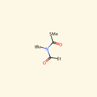 CCC(=O)N(C(=O)SC)C(C)(C)C